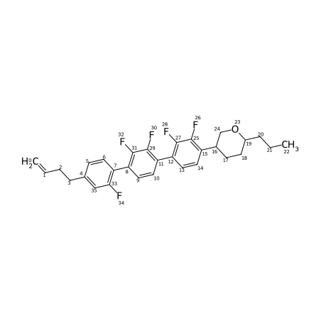 C=CCCc1ccc(-c2ccc(-c3ccc(C4CCC(CCC)OC4)c(F)c3F)c(F)c2F)c(F)c1